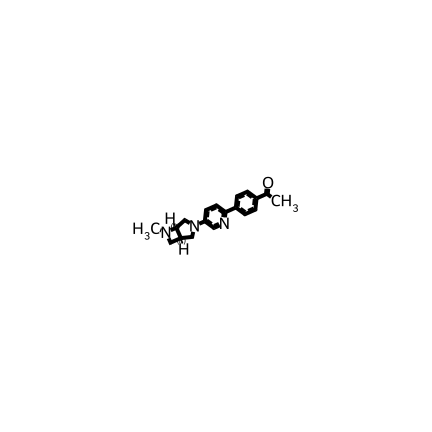 CC(=O)c1ccc(-c2ccc(N3C[C@H]4CN(C)[C@H]4C3)cn2)cc1